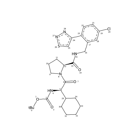 CC(C)(C)OC(=O)N[C@@H](C(=O)N1CCC[C@H]1C(=O)NCc1cc(Cl)ccc1-c1csnn1)C1CCCCC1